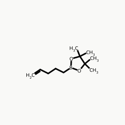 C=CCCCB1OC(C)(C)C(C)(C)O1